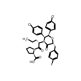 CCC[C@@H](C(=O)N1CCC[C@@H]1C(=O)O)N1C(=O)[C@@H](Cc2ccc(F)cc2)O[C@H](c2ccc(Cl)cc2)[C@@H]1c1ccc(Cl)cc1